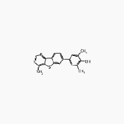 Cc1cc(-c2ccc3c(c2)sc2c(N)ncnc23)cc(C)c1O